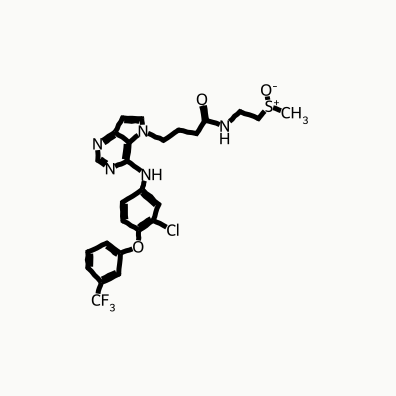 C[S+]([O-])CCNC(=O)CCCn1ccc2ncnc(Nc3ccc(Oc4cccc(C(F)(F)F)c4)c(Cl)c3)c21